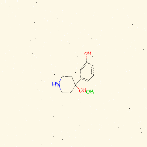 Cl.Oc1cccc(C2(O)CCNCC2)c1